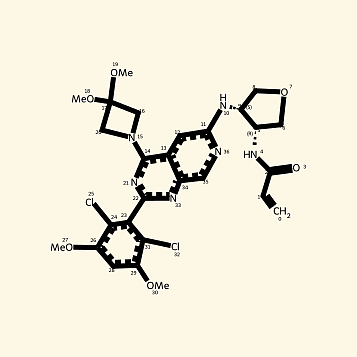 C=CC(=O)N[C@H]1COC[C@H]1Nc1cc2c(N3CC(OC)(OC)C3)nc(-c3c(Cl)c(OC)cc(OC)c3Cl)nc2cn1